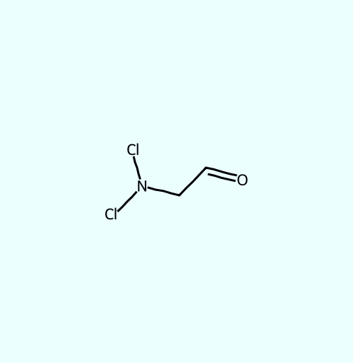 O=CCN(Cl)Cl